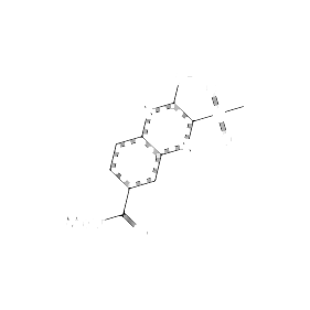 COC(=O)c1ccc2nc(C(F)(F)F)c(S(C)(=O)=O)nc2c1